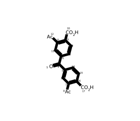 CC(=O)c1cc(C(=O)c2ccc(C(=O)O)c(C(C)=O)c2)ccc1C(=O)O